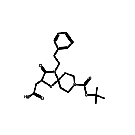 CC(C)(C)OC(=O)N1CCC2(CC1)SC(CC(=O)O)C(=O)N2CCc1ccccc1